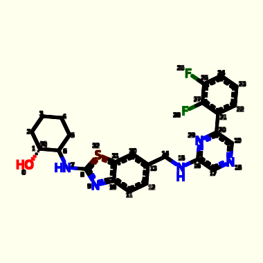 O[C@@H]1CCCCC1Nc1nc2ccc(CNc3cncc(-c4cccc(F)c4F)n3)cc2s1